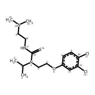 CC(C)N(CCOc1ccc(Cl)c(Cl)c1)C(=S)NCCN(C)C